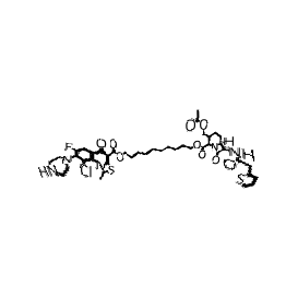 CC(=O)OCC1CC[C@H]2[C@@H](NC(=O)Cc3cccs3)C(=O)N2C1C(=O)OCCCCCCCCCCOC(=O)c1c2n(c3c(Cl)c(N4CCNCC4)c(F)cc3c1=O)C(C)S2